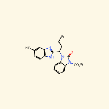 CCOC(=O)n1c(=O)n(C(CCC(C)C)c2nc3cc(C#N)ccc3[nH]2)c2ccccc21